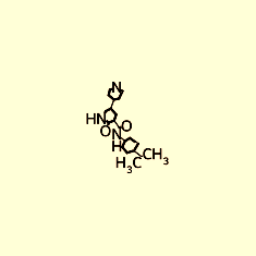 CC(C)c1ccc(NC(=O)c2cc(-c3ccncc3)c[nH]c2=O)cc1